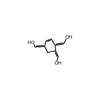 OC=C1C=CC(=CO)C(=CO)C1